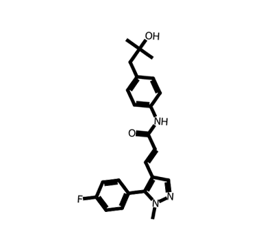 Cn1ncc(/C=C/C(=O)Nc2ccc(CC(C)(C)O)cc2)c1-c1ccc(F)cc1